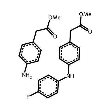 COC(=O)Cc1ccc(N)cc1.COC(=O)Cc1ccc(Nc2ccc(F)cc2)cc1